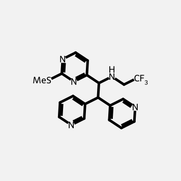 CSc1nccc(C(NCC(F)(F)F)C(c2cccnc2)c2cccnc2)n1